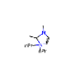 CCC[N+]1(CCC)C=CN(C)C1C